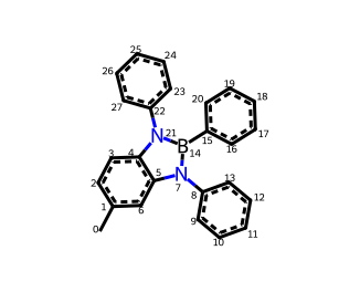 Cc1ccc2c(c1)N(c1ccccc1)B(c1ccccc1)N2c1ccccc1